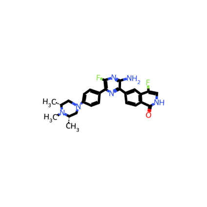 C[C@@H]1CN(c2ccc(-c3nc(-c4ccc5c(=O)[nH]cc(F)c5c4)c(N)nc3F)cc2)C[C@H](C)N1C